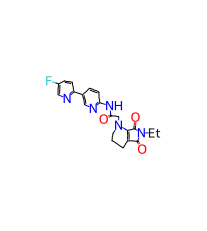 CCN1C(=O)C2=C(C1=O)N(CC(=O)Nc1ccc(-c3ccc(F)cn3)cn1)CCC2